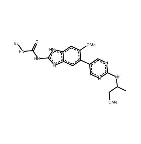 CCNC(=O)Nc1nc2cc(-c3cnc(NC(C)COC)nc3)c(OC)cc2[nH]1